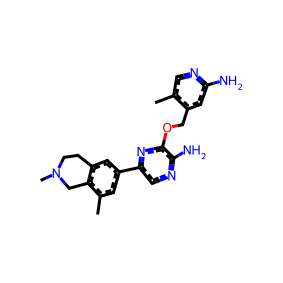 Cc1cnc(N)cc1COc1nc(-c2cc(C)c3c(c2)CCN(C)C3)cnc1N